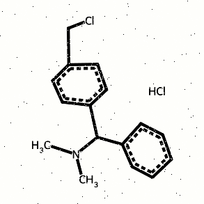 CN(C)C(c1ccccc1)c1ccc(CCl)cc1.Cl